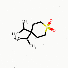 CC(C)C1(C(C)C)CCS(=O)(=O)CC1